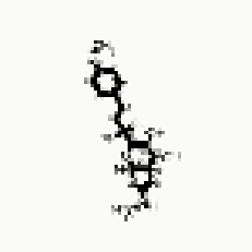 CNC1=N[C@@H]2[C@@H](O)[C@H](O)C(C(F)(F)CCc3ccc(OC)cc3)O[C@@H]2S1